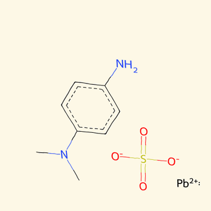 CN(C)c1ccc(N)cc1.O=S(=O)([O-])[O-].[Pb+2]